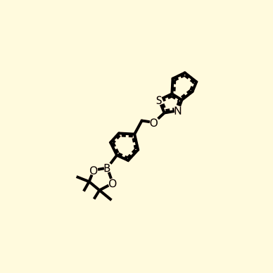 CC1(C)OB(c2ccc(COc3nc4ccccc4s3)cc2)OC1(C)C